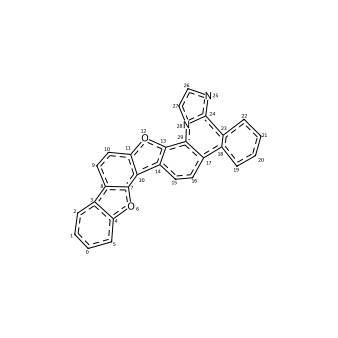 c1ccc2c(c1)oc1c2ccc2oc3c(ccc4c5ccccc5c5nccn5c43)c21